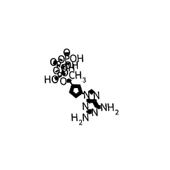 CC(OP(=O)(O)OP(=O)(O)OP(=O)(O)O)[C@@H]1CC[C@H](n2cnc3c(N)nc(N)nc32)C1